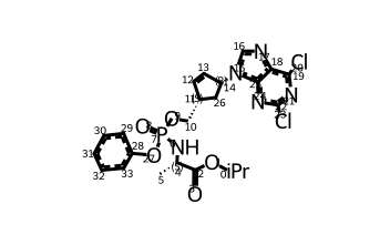 CC(C)OC(=O)[C@H](C)NP(=O)(OC[C@@H]1C=C[C@H](n2cnc3c(Cl)nc(Cl)nc32)C1)Oc1ccccc1